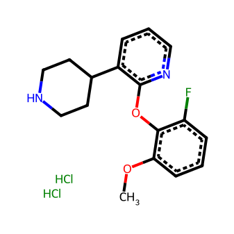 COc1cccc(F)c1Oc1ncccc1C1CCNCC1.Cl.Cl